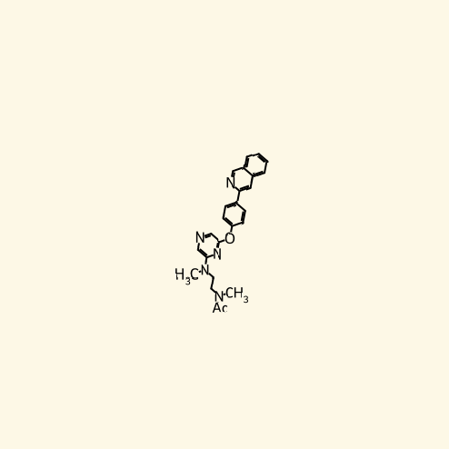 CC(=O)N(C)CCN(C)c1cncc(Oc2ccc(-c3cc4ccccc4cn3)cc2)n1